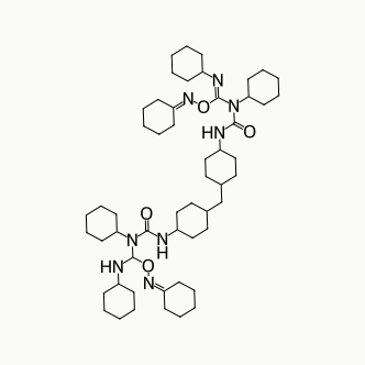 O=C(NC1CCC(CC2CCC(NC(=O)N(C3CCCCC3)C(NC3CCCCC3)ON=C3CCCCC3)CC2)CC1)N(/C(=N/C1CCCCC1)ON=C1CCCCC1)C1CCCCC1